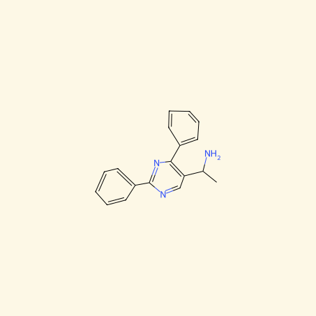 CC(N)c1cnc(-c2ccccc2)nc1-c1ccccc1